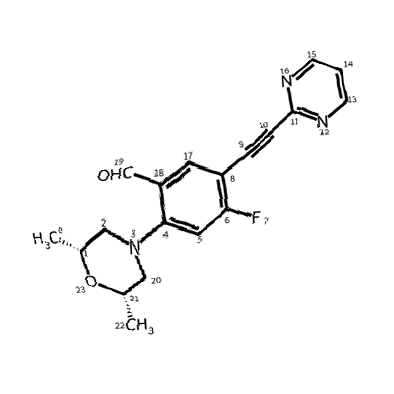 C[C@@H]1CN(c2cc(F)c(C#Cc3ncccn3)cc2C=O)C[C@H](C)O1